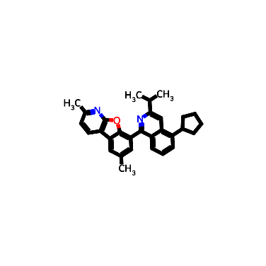 Cc1cc(-c2nc(C(C)C)cc3c(C4CCCC4)cccc23)c2oc3nc(C)ccc3c2c1